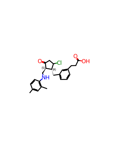 Cc1ccc(NC[C@H]2C(=O)CC(Cl)[C@@H]2Cc2cccc(CCC(=O)O)c2)c(C)c1